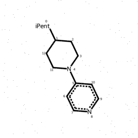 CCCC(C)C1CCN(c2ccncc2)CC1